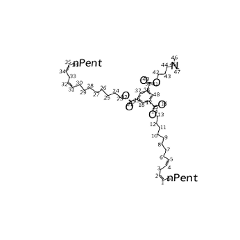 CCCCC/C=C\C/C=C\CCCCCCCCOC(=O)c1cc(C(=O)OCCCCCCCC/C=C\C/C=C\CCCCC)cc(C(=O)OCCCN(C)C)c1